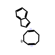 C1=C\CC/C=C\CC/1.C1=Cc2ccccc2C1.[Ir]